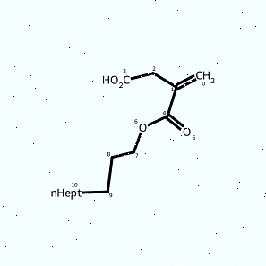 C=C(CC(=O)O)C(=O)OCCCCCCCCCC